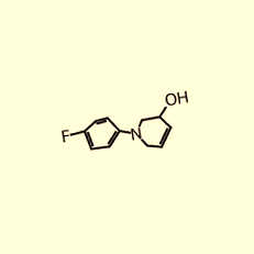 OC1C=CCN(c2ccc(F)cc2)C1